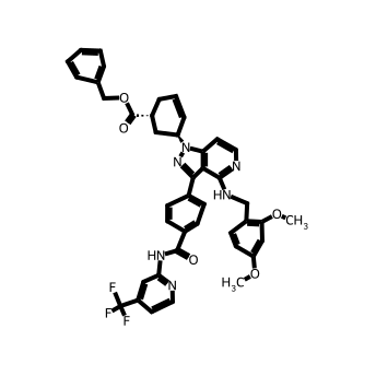 COc1ccc(CNc2nccc3c2c(-c2ccc(C(=O)Nc4cc(C(F)(F)F)ccn4)cc2)nn3[C@@H]2C=CC[C@@H](C(=O)OCc3ccccc3)C2)c(OC)c1